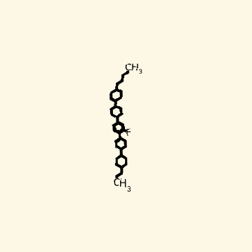 CCCCCC1CCC(C2CCC(c3ccc(C4=CCC(C5CCC(CCC)CC5)CC4)c(F)c3)CC2)CC1